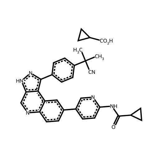 CC(C)(C#N)c1ccc(-c2n[nH]c3cnc4ccc(-c5ccc(NC(=O)C6CC6)nc5)cc4c23)cc1.O=C(O)C1CC1